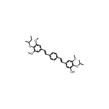 CCC(C)Oc1c(OC)cc(/C=C/c2ccc(/C=C/c3cc(O)c(OC(C)C)c(OC)c3)cc2)cc1OC